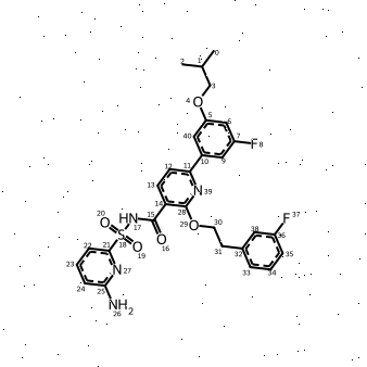 CC(C)COc1cc(F)cc(-c2ccc(C(=O)NS(=O)(=O)c3cccc(N)n3)c(OCCc3cccc(F)c3)n2)c1